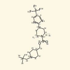 C[C@@H]1CN(c2ncc(C(F)(F)F)cn2)C[C@H](C)N1C(=O)OCC1CCN(CC(C)(C)C)CC1